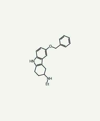 CCNC1CCc2[nH]c3ccc(OCc4ccccc4)cc3c2C1